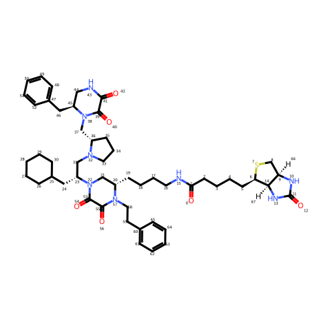 O=C(CCCC[C@H]1SC[C@H]2NC(=O)N[C@H]21)NCCCC[C@H]1CN([C@H](CC2CCCCC2)CN2CCC[C@H]2CN2C(=O)C(=O)NC[C@@H]2Cc2ccccc2)C(=O)C(=O)N1CCc1ccccc1